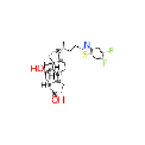 CC(CCc1nc2cc(F)c(F)cc2s1)[C@H]1CC[C@H]2[C@@H]3[C@H](O)C[C@@H]4C[C@H](O)CC[C@]4(C)[C@H]3CC[C@]12C